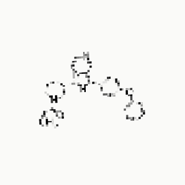 C=CC(=O)N1CCC[C@H](c2nc(-c3ccc(Oc4ccccc4)cc3)c3cnccn23)C1